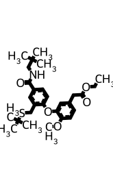 CCOC(=O)Cc1ccc(OC)c(Oc2ccc(C(=O)NCC(C)(C)C)cc2CSC(C)(C)C)c1